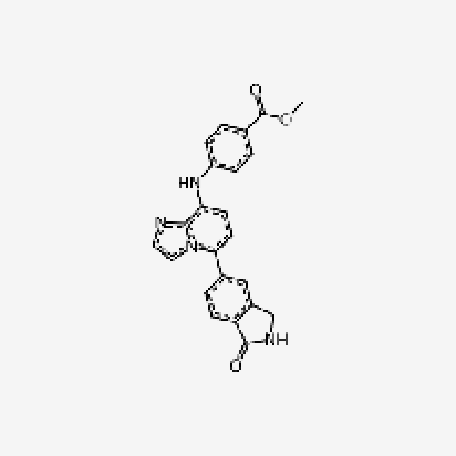 COC(=O)c1ccc(Nc2ccc(-c3ccc4c(c3)CNC4=O)n3ccnc23)cc1